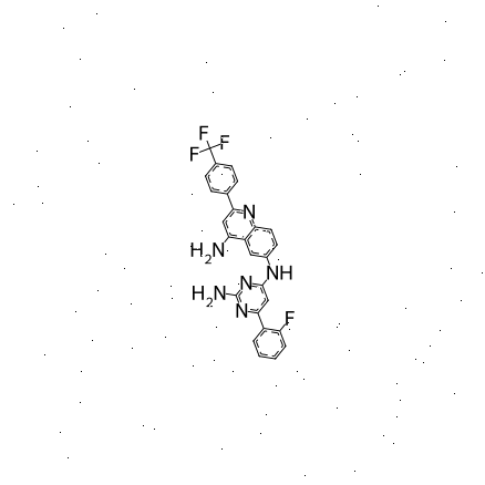 Nc1nc(Nc2ccc3nc(-c4ccc(C(F)(F)F)cc4)cc(N)c3c2)cc(-c2ccccc2F)n1